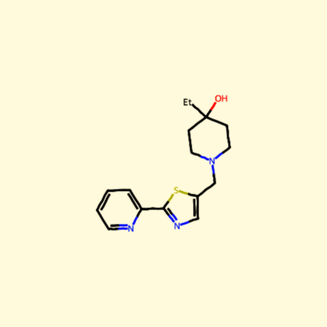 CCC1(O)CCN(Cc2cnc(-c3ccccn3)s2)CC1